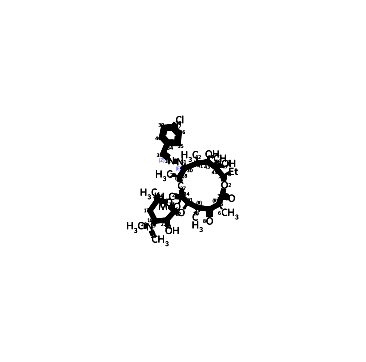 CC[C@H]1OC(=O)[C@H](C)C(=O)[C@H](C)[C@@H](OC2OC(C)CC(N(C)C)C2O)[C@](C)(OC)C[C@@H](C)/C(=N\N=C/c2ccc(Cl)cc2)[C@H](C)[C@@H](O)[C@]1(C)O